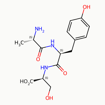 C[C@H](N)C(=O)N[C@@H](Cc1ccc(O)cc1)C(=O)N[C@@H](CO)C(=O)O